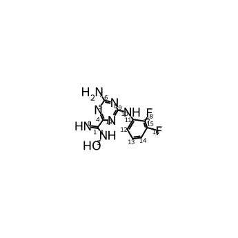 N=C(NO)c1nc(N)nc(Nc2cccc(F)c2F)n1